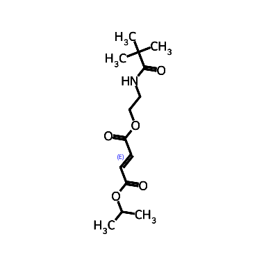 CC(C)OC(=O)/C=C/C(=O)OCCNC(=O)C(C)(C)C